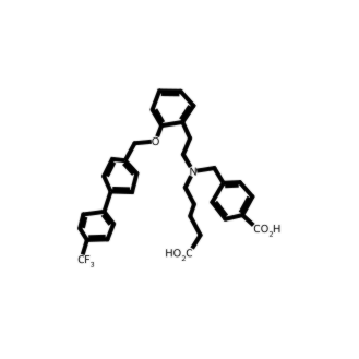 O=C(O)CCCCN(CCc1ccccc1OCc1ccc(-c2ccc(C(F)(F)F)cc2)cc1)Cc1ccc(C(=O)O)cc1